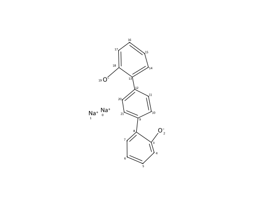 [Na+].[Na+].[O-]c1ccccc1-c1ccc(-c2ccccc2[O-])cc1